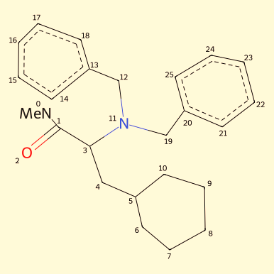 CNC(=O)C(CC1CCCCC1)N(Cc1ccccc1)Cc1ccccc1